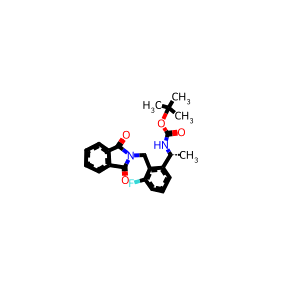 C[C@@H](NC(=O)OC(C)(C)C)c1cccc(F)c1CN1C(=O)c2ccccc2C1=O